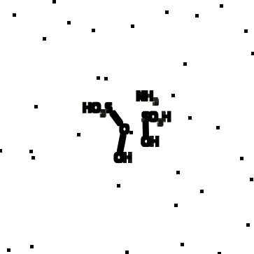 N.O=S(=O)(O)O.O=S(=O)(O)OO